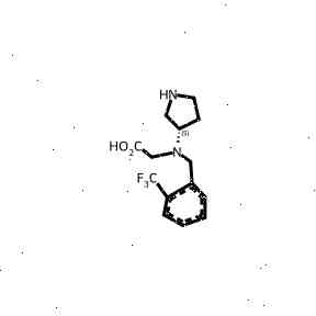 O=C(O)CN(Cc1ccccc1C(F)(F)F)[C@H]1CCNC1